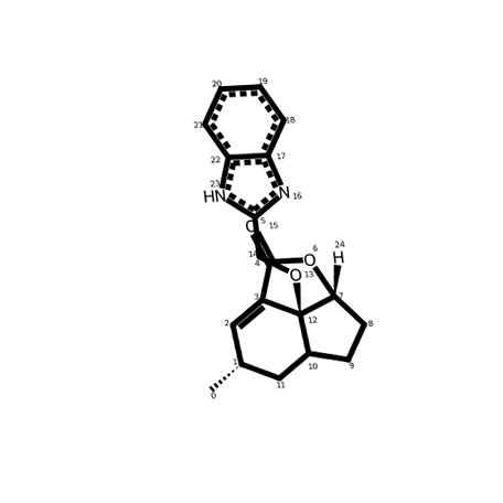 C[C@@H]1C=C2C(=O)O[C@@H]3CCC(C1)[C@]23OCc1nc2ccccc2[nH]1